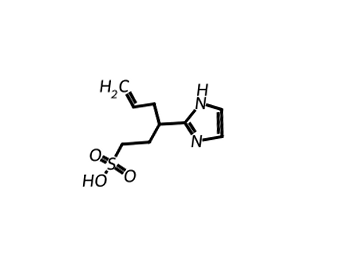 C=CCC(CCS(=O)(=O)O)c1ncc[nH]1